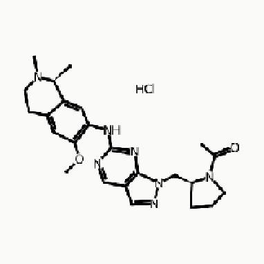 COc1cc2c(cc1Nc1ncc3cnn(C[C@@H]4CCCN4C(C)=O)c3n1)[C@H](C)N(C)CC2.Cl